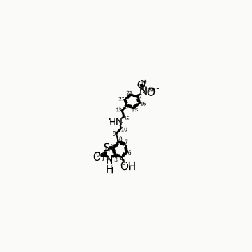 O=c1[nH]c2c(O)ccc(CCNCCc3ccc([N+](=O)[O-])cc3)c2s1